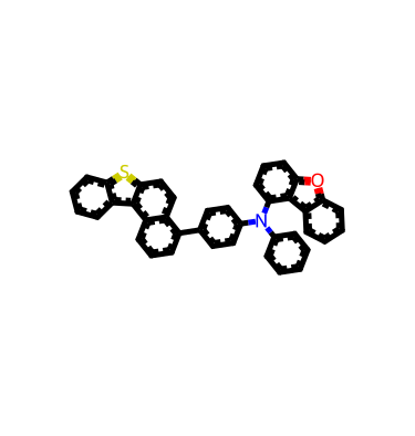 c1ccc(N(c2ccc(-c3cccc4c3ccc3sc5ccccc5c34)cc2)c2cccc3oc4ccccc4c23)cc1